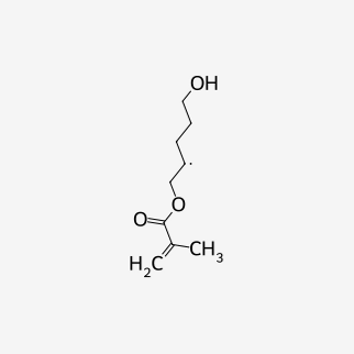 C=C(C)C(=O)OC[CH]CCCO